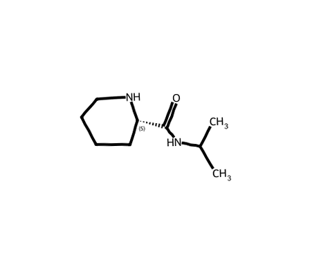 CC(C)NC(=O)[C@@H]1CCCCN1